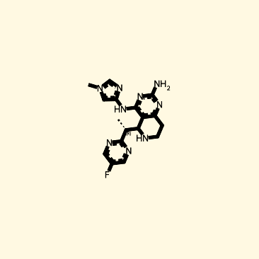 C[C@@H](c1ncc(F)cn1)C1NCCc2nc(N)nc(Nc3cn(C)cn3)c21